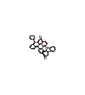 N#Cc1ccc(-c2c3ccccc3c(-c3ccccc3)c3ccccc23)c(-c2cc(C#N)ccc2-n2c3ccccc3c3ccccc32)c1